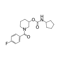 O=C(NC1CCCC1)OC1CCCN(C(=O)c2ccc(F)cc2)C1